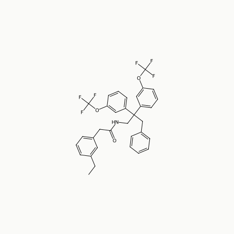 CCc1cccc(CC(=O)NCC(Cc2ccccc2)(c2cccc(OC(F)(F)F)c2)c2cccc(OC(F)(F)F)c2)c1